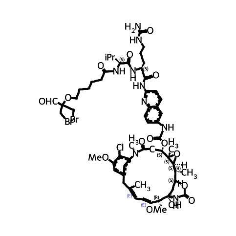 COc1cc2cc(c1Cl)N(C)C(=O)C[C@H](OC(=O)Nc1ccc3nc(NC(=O)[C@H](CCCNC(N)=O)NC(=O)[C@@H](NC(=O)CCCCCOC(C=O)(CBr)CBr)C(C)C)ccc3c1)[C@]1(C)O[C@H]1[C@H](C)[C@@H]1C[C@@](O)(NC(=O)O1)[C@H](OC)/C=C/C=C(\C)C2